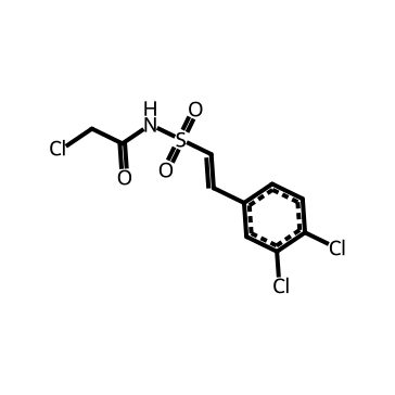 O=C(CCl)NS(=O)(=O)C=Cc1ccc(Cl)c(Cl)c1